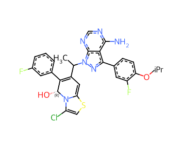 CC(C)Oc1ccc(-c2nn(C(C)C3=C(c4cccc(F)c4)[C@@H](O)N4C(Cl)=CSC4=C3)c3ncnc(N)c23)cc1F